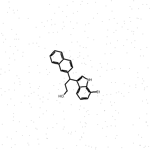 CCc1cccc2c(C(CCO)c3ccc4ccccc4c3)c[nH]c12